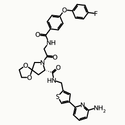 Nc1cccc(-c2csc(CNC(=O)[C@@H]3CC4(CN3C(=O)CNC(=O)c3ccc(Oc5ccc(F)cc5)cc3)OCCO4)c2)n1